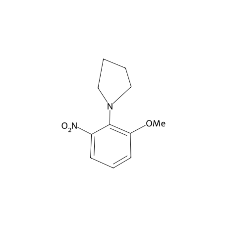 COc1cccc([N+](=O)[O-])c1N1CCCC1